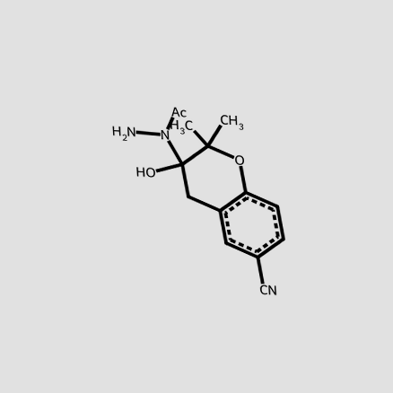 CC(=O)N(N)C1(O)Cc2cc(C#N)ccc2OC1(C)C